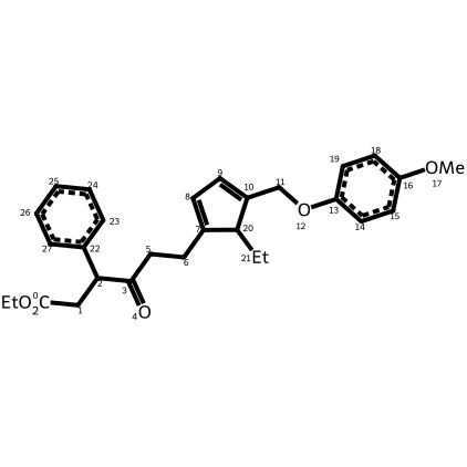 CCOC(=O)CC(C(=O)CCC1=CC=C(COc2ccc(OC)cc2)C1CC)c1ccccc1